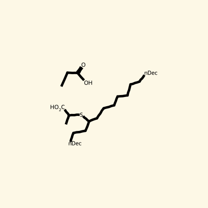 CCC(=O)O.CCCCCCCCCCCCCCCCCC(CCCCCCCCCCCC)SC(C)C(=O)O